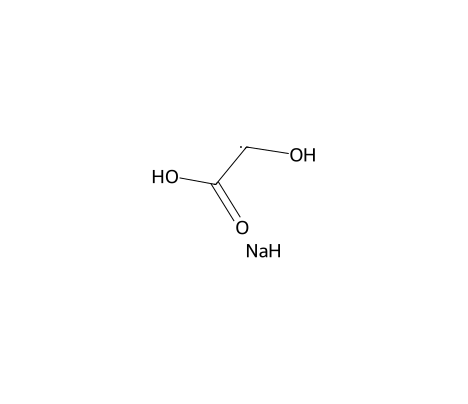 O=C(O)[CH]O.[NaH]